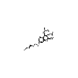 CCC=CCCOc1ccc2c(OC(C)=O)c(OC(C)=O)c(=O)oc2c1